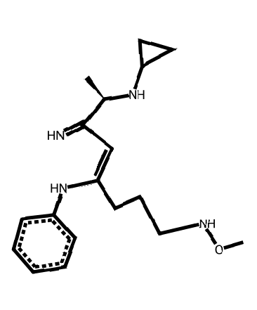 CONCCC/C(=C/C(=N)[C@@H](C)NC1CC1)Nc1ccccc1